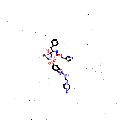 CC(C)CN(CC(O)C(Cc1ccccc1)NC(=O)OCc1cncs1)S(=O)(=O)c1ccc2nc(NCCN3CCNCC3)sc2c1